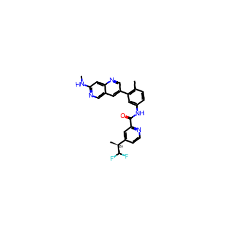 CNc1cc2ncc(-c3cc(NC(=O)c4cc([C@H](C)C(F)F)ccn4)ccc3C)cc2cn1